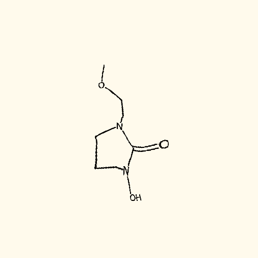 COCN1CCN(O)C1=O